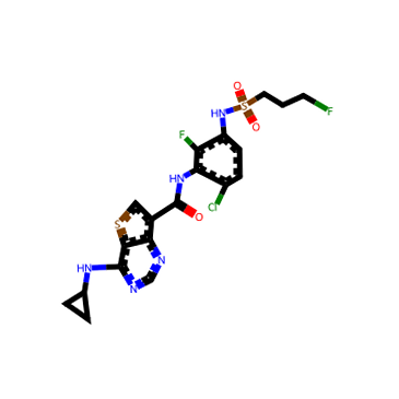 O=C(Nc1c(Cl)ccc(NS(=O)(=O)CCCF)c1F)c1csc2c(NC3CC3)ncnc12